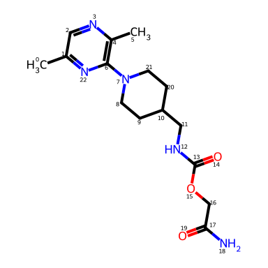 Cc1cnc(C)c(N2CCC(CNC(=O)OCC(N)=O)CC2)n1